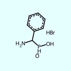 Br.NC(c1ccccc1)[PH](=O)O